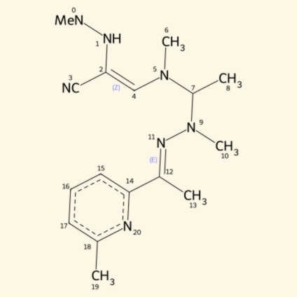 CNN/C(C#N)=C\N(C)C(C)N(C)/N=C(\C)c1cccc(C)n1